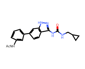 CC(=O)Nc1cccc(-c2ccc3c(NC(=O)NCC4CC4)n[nH]c3c2)c1